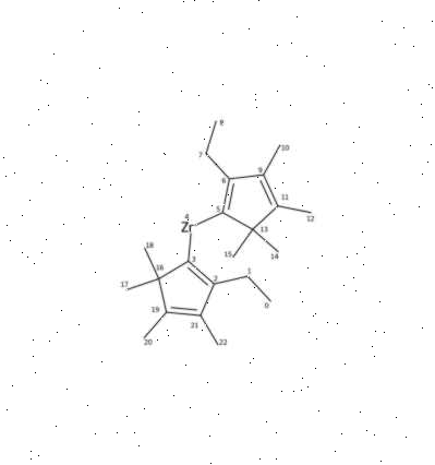 CCC1=[C]([Zr][C]2=C(CC)C(C)=C(C)C2(C)C)C(C)(C)C(C)=C1C